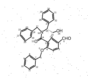 O=Cc1ccc(OCc2ccccc2)c(C(=O)N(Cc2ccccc2)[C@@H](CO)c2ccccc2)c1